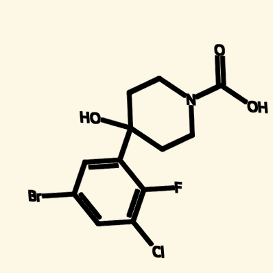 O=C(O)N1CCC(O)(c2cc(Br)cc(Cl)c2F)CC1